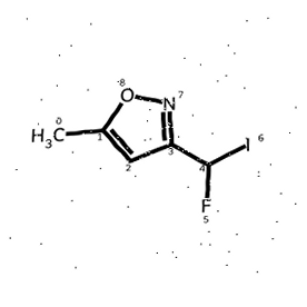 Cc1cc(C(F)I)no1